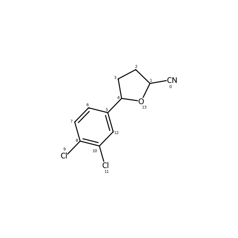 N#CC1CCC(c2ccc(Cl)c(Cl)c2)O1